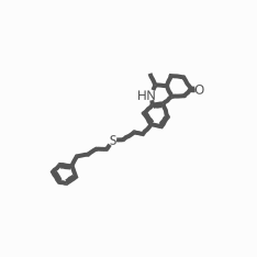 CC1Nc2cc(CCCSCCCCc3ccccc3)ccc2C2CC(=O)CCC12